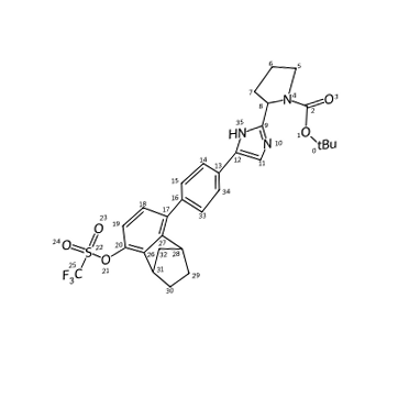 CC(C)(C)OC(=O)N1CCCC1c1ncc(-c2ccc(-c3ccc(OS(=O)(=O)C(F)(F)F)c4c3C3CCC4C3)cc2)[nH]1